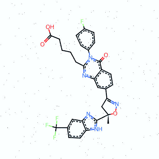 C[C@@]1(c2nc3cc(C(F)(F)F)ccc3[nH]2)CC(c2ccc3c(=O)n(-c4ccc(F)cc4)c(CCCCC(=O)O)nc3c2)=NO1